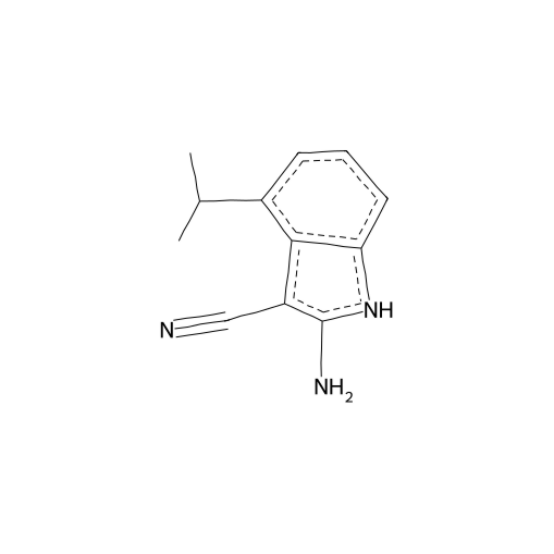 CC(C)c1cccc2[nH]c(N)c(C#N)c12